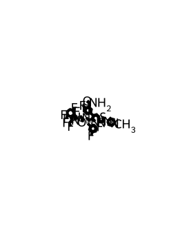 CN1CCN(c2nc3nc([C@H](Cc4cc(F)cc(F)c4)NC(=O)Cn4nc(C(F)F)c5c4C(F)(F)CCC5(F)F)c(-c4ccc(F)c(C(N)=O)c4)cc3s2)CC1